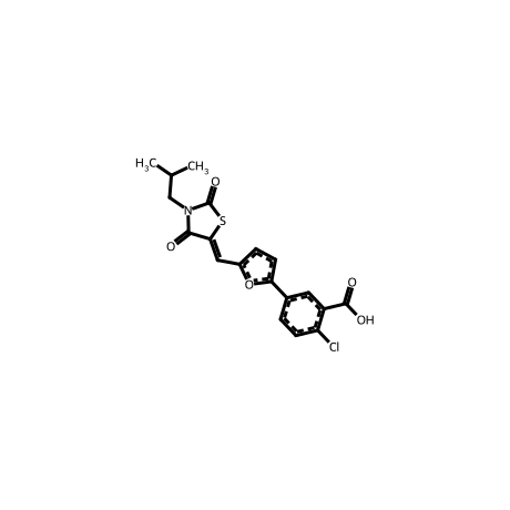 CC(C)CN1C(=O)S/C(=C\c2ccc(-c3ccc(Cl)c(C(=O)O)c3)o2)C1=O